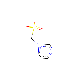 O=S(=O)(O)Cn1ccnc1